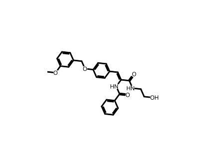 COc1cccc(COc2ccc(C=C(NC(=O)c3ccccc3)C(=O)NCCO)cc2)c1